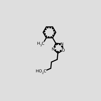 Cc1ccccc1-c1noc(CCCC(=O)O)n1